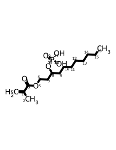 C=C(C)C(=O)OCCC(CCCCCCCC)OP(=O)(O)O